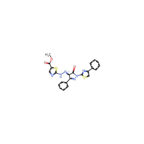 COC(=O)c1cnc(N/N=C2/C(=O)N(c3nc(-c4ccccc4)cs3)N=C2c2ccccc2)s1